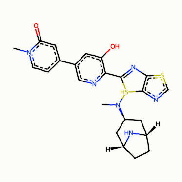 CN([C@@H]1C[C@H]2CC[C@@H](C1)N2)[SH]1C(c2ncc(-c3ccn(C)c(=O)c3)cc2O)=Nc2scnc21